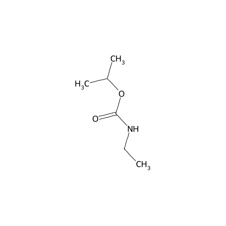 CCNC(=O)OC(C)C